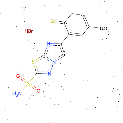 Br.NS(=O)(=O)c1nn2cc(C3=CC([N+](=O)[O-])=CCC3=S)nc2s1